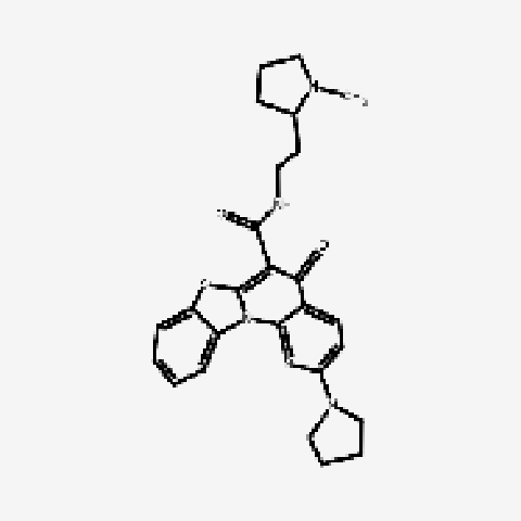 CN1CCCC1CCNC(=O)c1c(=O)c2ccc(N3CCCC3)nc2n2c1sc1ccccc12